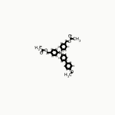 COc1ccc(-c2ccc(N(c3ccc(COC(C)=O)cc3)c3ccc(COC(C)=O)cc3)cc2)cc1